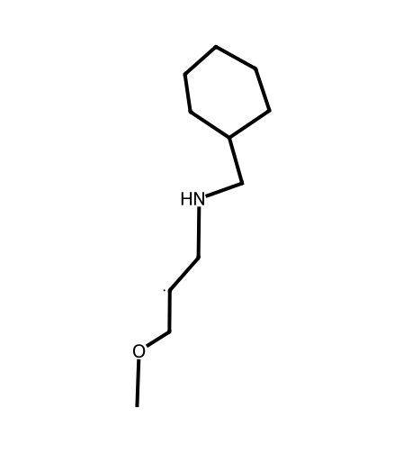 COC[CH]CNCC1CCCCC1